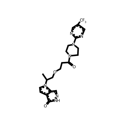 CC(COCCC(=O)N1CCN(c2ncc(C(F)(F)F)cn2)CC1)n1ccc2c(=O)[nH]ncc21